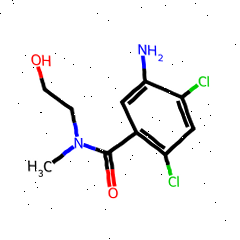 CN(CCO)C(=O)c1cc(N)c(Cl)cc1Cl